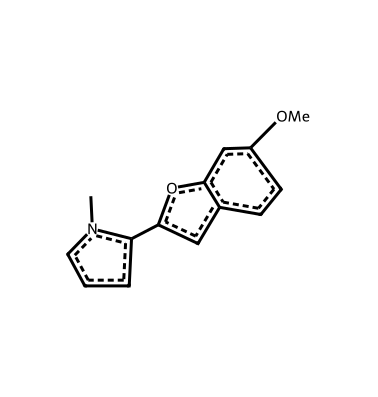 COc1ccc2cc(-c3cccn3C)oc2c1